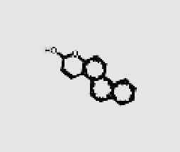 OC1C=Cc2c(ccc3c2ccc2ccccc23)O1